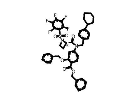 O=C(OCc1ccccc1)c1ccc(N(Cc2ccc(C3CCCCC3)cc2)C(=O)[C@H]2CCN2S(=O)(=O)c2c(F)c(F)c(F)c(F)c2F)cc1OCc1ccccc1